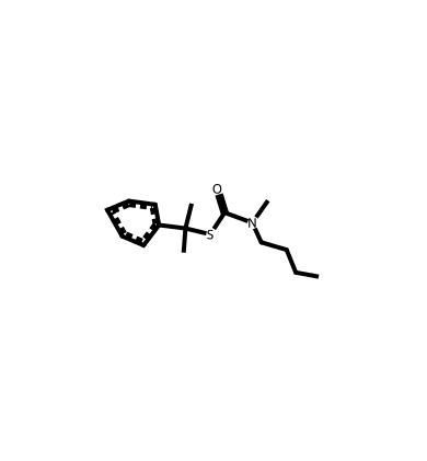 CCCCN(C)C(=O)SC(C)(C)c1ccccc1